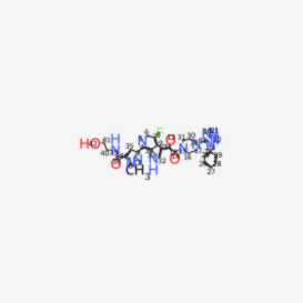 Cn1nc(-c2ncc(F)c3c(C(=O)C(=O)N4CCN(c5nnnn5-c5ccccc5)CC4)c[nH]c23)cc1C(=O)NCCO